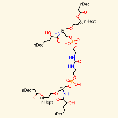 CCCCCCCCCCCCC(O)C(=O)N[C@H](COCC[C@@H](CCCCCCC)OC(=O)CCCCCCCCCCC)COP(=O)(O)OCCNC(=O)NCCOP(=O)(O)OC[C@@H](COCC[C@@H](CCCCCCC)OC(=O)CCCCCCCCCCC)NC(=O)C(O)CCCCCCCCCCCC